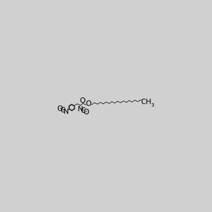 CCCCCCCCCCCCCCCCCCCOCC(=O)C(Cc1ccc(N=C=O)cc1)N=C=O